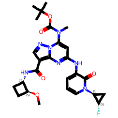 CO[C@H]1CC[C@@H]1NC(=O)c1cnn2c(N(C)C(=O)OC(C)(C)C)cc(Nc3cccn([C@H]4C[C@@H]4F)c3=O)nc12